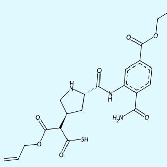 C=CCOC(=O)c1ccc(C(N)=O)c(NC(=O)[C@@H]2C[C@@H](C(C(=O)S)C(=O)OCC=C)CN2)c1